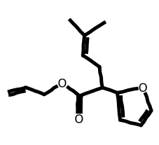 C=CCOC(=O)C(CC=C(C)C)c1ccco1